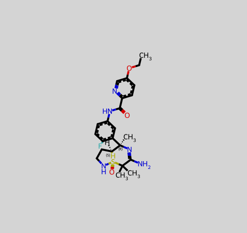 CCOc1ccc(C(=O)Nc2ccc(F)c([C@@]3(C)N=C(N)C(C)(C)[SH]4(=O)NCC[C@@H]34)c2)nc1